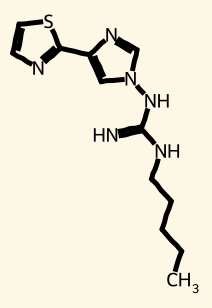 CCCCCNC(=N)Nn1cnc(-c2nccs2)c1